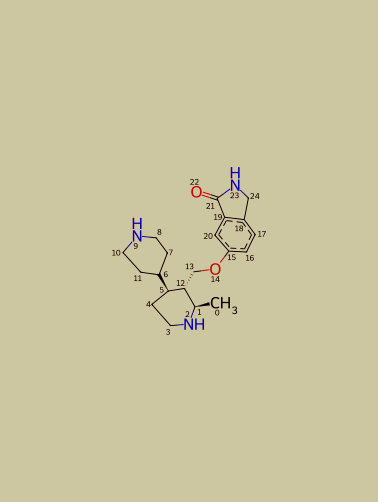 C[C@H]1NCC[C@@H](C2CCNCC2)[C@@H]1COc1ccc2c(c1)C(=O)NC2